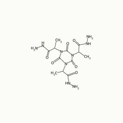 CC(C(=O)NN)n1c(=O)n(C(C)C(=O)NN)c(=O)n(C(C)C(=O)NN)c1=O